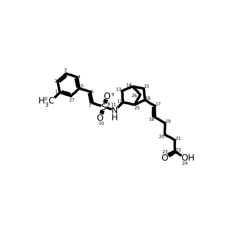 Cc1cccc(C=CS(=O)(=O)NC2CC3CC(C=CCCCC(=O)O)C2C3)c1